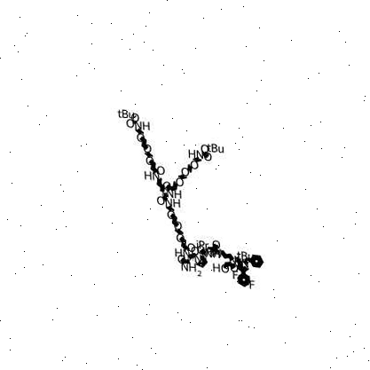 CC(C)[C@H](NC(=O)[C@@H]1CCCN1C(=O)[C@H](CC(N)=O)NC(=O)CCOCCOCCOCCNC(=O)[C@H](CCCCNC(=O)CCOCCOCCOCCNC(=O)OC(C)(C)C)NC(=O)CCOCCOCCOCCNC(=O)OC(C)(C)C)C(=O)NCCCN(C(=O)CO)[C@@H](c1cc(-c2cc(F)ccc2F)cn1Cc1ccccc1)C(C)(C)C